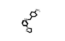 NC1CCC(CNc2cccc(N3CCCS3)c2)CC1